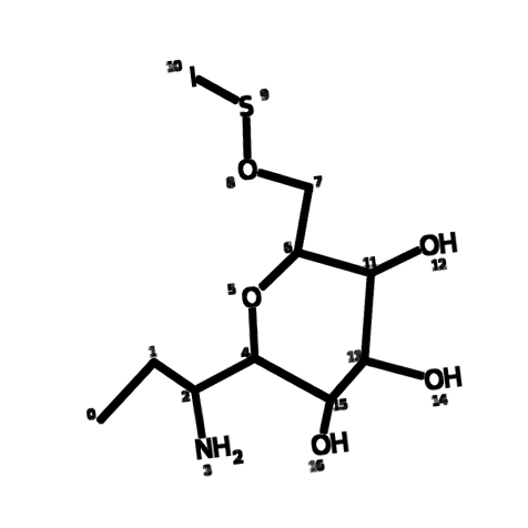 CCC(N)C1OC(COSI)C(O)C(O)C1O